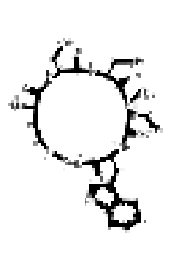 CC(C)C[C@@H]1NC(=O)[C@H](CO)NC(=O)[C@H](N)CCCCNC(=O)[C@H](Cc2c[nH]c3ccccc23)NC(=O)[C@H](CC(C)C)N(C)C1=O